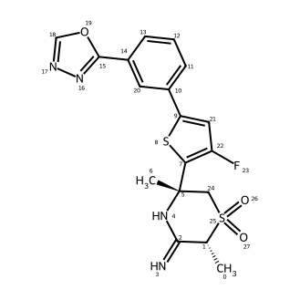 C[C@@H]1C(=N)N[C@](C)(c2sc(-c3cccc(-c4nnco4)c3)cc2F)CS1(=O)=O